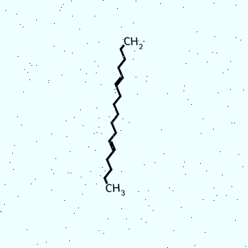 [CH2]CCC/C=C/CCCCC/C=C/CCCC